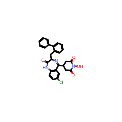 O=C1Nc2ccc(Cl)cc2C(C2CC(=O)N(O)C(=O)C2)=NC1Cc1ccccc1-c1ccccc1